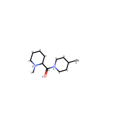 CC(C)C1CCN(C(=O)C2CCCCN2C)CC1